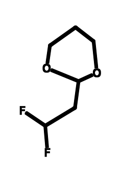 FC(F)CC1OCCCO1